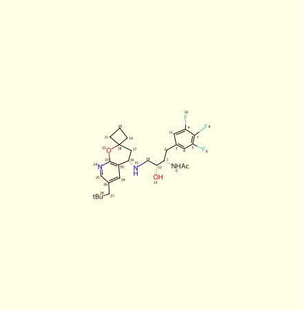 CC(=O)N[C@@H](Cc1cc(F)c(F)c(F)c1)[C@H](O)CN[C@H]1CC2(CCC2)Oc2ncc(CC(C)(C)C)cc21